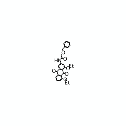 CCOc1cccc2c1C(=O)c1c(OCC)cc(NC(=O)COCc3ccccc3)cc1C2=O